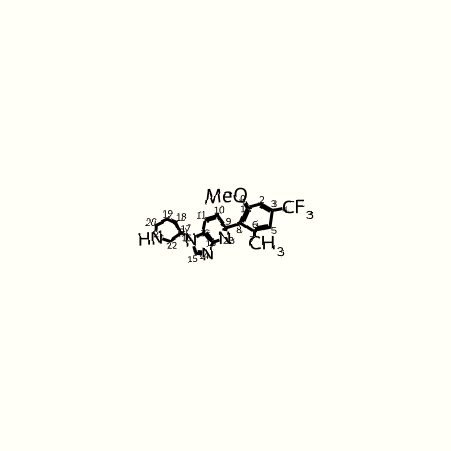 COc1cc(C(F)(F)F)cc(C)c1-c1ccc2c(ncn2[C@@H]2CCCNC2)n1